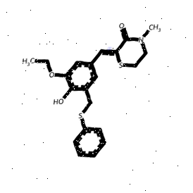 CCOc1cc(/C=C2\SCCN(C)C2=O)cc(CSc2ccccc2)c1O